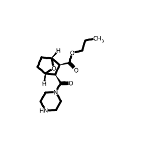 CCCOC(=O)[C@H]1[C@@H](C(=O)N2CCNCC2)[C@@H]2CC[C@H]1O2